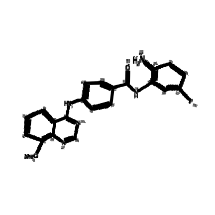 COc1cccc2c(Nc3ccc(C(=O)Nc4cc(F)ccc4N)cc3)ncnc12